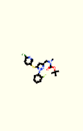 CN(Cc1cc(Sc2ccc(Cl)nc2)n(-c2ccccc2F)n1)C(=O)OC(C)(C)C